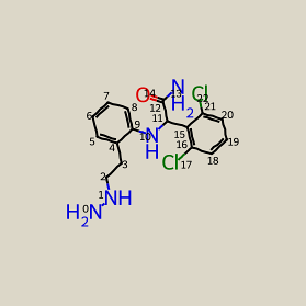 NNCCc1ccccc1NC(C(N)=O)c1c(Cl)cccc1Cl